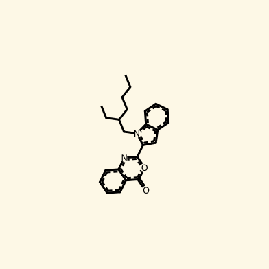 CCCCC(CC)Cn1c(-c2nc3ccccc3c(=O)o2)cc2ccccc21